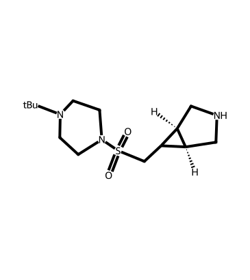 CC(C)(C)N1CCN(S(=O)(=O)CC2[C@H]3CNC[C@@H]23)CC1